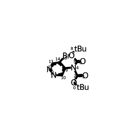 CC(C)(C)OC(=O)N(C(=O)OC(C)(C)C)c1cnncc1Br